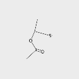 CC(=O)OC(C)[S]